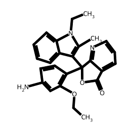 CCOc1cc(N)ccc1C1(c2c(C)n(CC)c3ccccc23)OC(=O)c2cccnc21